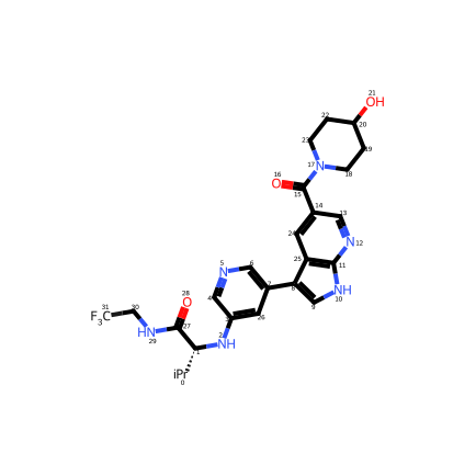 CC(C)[C@@H](Nc1cncc(-c2c[nH]c3ncc(C(=O)N4CCC(O)CC4)cc23)c1)C(=O)NCC(F)(F)F